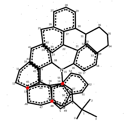 CC(C)(C)c1ccc(-c2ccccc2)c(N(c2ccccc2-c2cccc3cccc(C4CCCCC4)c23)c2ccccc2-c2cccc3sc4ccccc4c23)c1